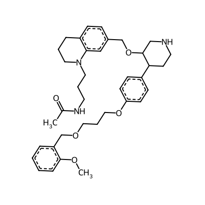 COc1ccccc1COCCCOc1ccc(C2CCNCC2OCc2ccc3c(c2)N(CCCNC(C)=O)CCC3)cc1